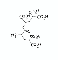 CC(CC(C(=O)O)C(=O)O)C(=O)CC(CC(C(=O)O)C(=O)O)C(=O)O